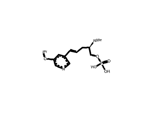 CN[C@H](C/C=C/c1cncc(OC(C)C)c1)COP(=O)(O)O